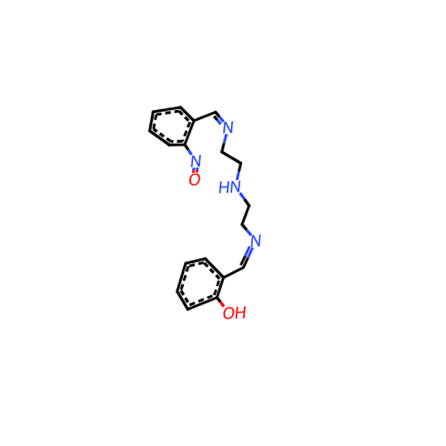 O=Nc1ccccc1/C=N\CCNCC/N=C\c1ccccc1O